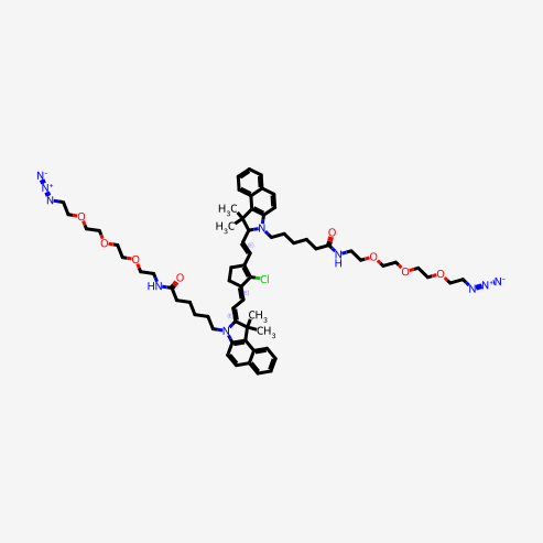 CC1(C)/C(=C\C=C2/CCC(/C=C/C3N(CCCCCC(=O)NCCOCCOCCOCCN=[N+]=[N-])c4ccc5ccccc5c4C3(C)C)=C2Cl)N(CCCCCC(=O)NCCOCCOCCOCCN=[N+]=[N-])c2ccc3ccccc3c21